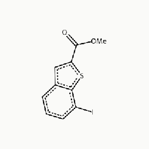 COC(=O)c1cc2cccc(I)c2s1